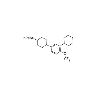 CCCCCC1CCC(c2ccc(OC(F)(F)F)c(C3CCCCC3)c2)CC1